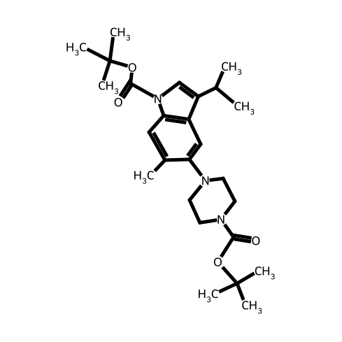 Cc1cc2c(cc1N1CCN(C(=O)OC(C)(C)C)CC1)c(C(C)C)cn2C(=O)OC(C)(C)C